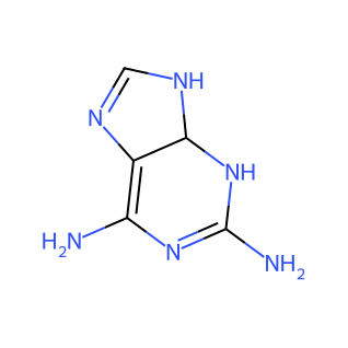 NC1=NC(N)=C2N=CNC2N1